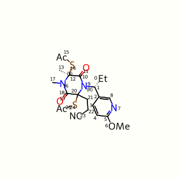 CC[C@H](c1ccc(OC)nc1)N1C(=O)[C@](C)(SC(C)=O)N(C)C(=O)C1(CCC#N)SC(C)=O